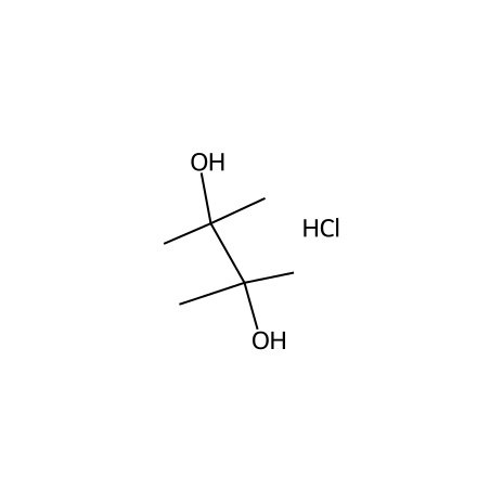 CC(C)(O)C(C)(C)O.Cl